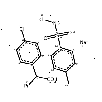 CC(C)C(C(=O)O)c1ccc(Cl)cc1.Cc1ccc(S(=O)(=O)[N-]Cl)cc1.[Na+]